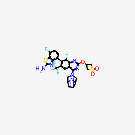 Nc1nc2c(-c3c(C(F)(F)F)cc4c(N5CC6CCC(C5)N6)nc(OC5CS(=O)(=O)C5)nc4c3F)ccc(F)c2s1